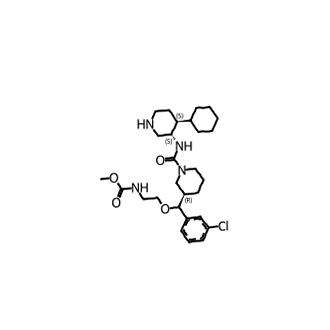 COC(=O)NCCOC(c1cccc(Cl)c1)[C@@H]1CCCN(C(=O)N[C@@H]2CNCC[C@H]2C2CCCCC2)C1